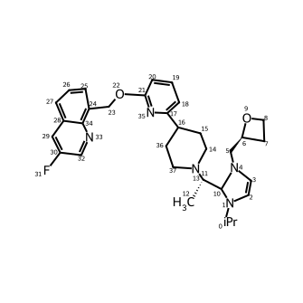 CC(C)N1C=CN(C[C@@H]2CCO2)C1[C@H](C)N1CCC(c2cccc(OCc3cccc4cc(F)cnc34)n2)CC1